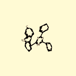 Clc1ccc2c(c1)oc1cccc(-c3nc(-c4ccccc4)nc(-c4ccccc4)n3)c12